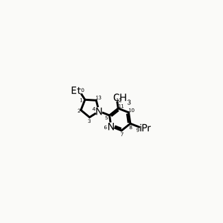 CCC1CCN(c2ncc(C(C)C)cc2C)C1